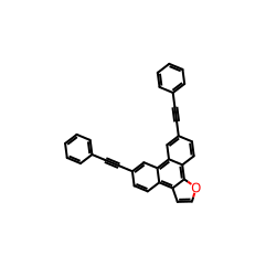 C(#Cc1ccc2c(c1)c1cc(C#Cc3ccccc3)ccc1c1occc21)c1ccccc1